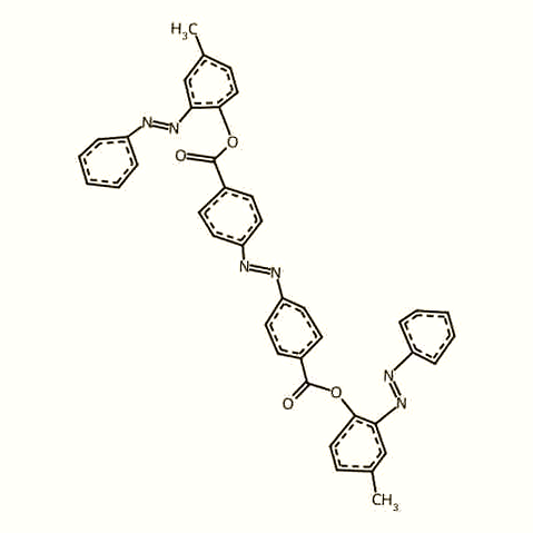 Cc1ccc(OC(=O)c2ccc(/N=N/c3ccc(C(=O)Oc4ccc(C)cc4/N=N/c4ccccc4)cc3)cc2)c(/N=N/c2ccccc2)c1